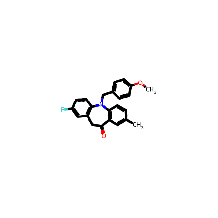 COc1ccc(CN2c3ccc(F)cc3CC(=O)c3cc(C)ccc32)cc1